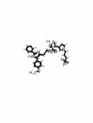 COc1ccc(-c2[nH]c(-c3ccccc3)nc2CCNS(=O)(=O)N(C)C2CCN(CCCC(F)(F)F)C2)cc1